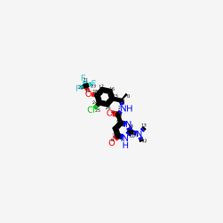 C[C@@H](NC(=O)c1cc(=O)[nH]c(N(C)C)n1)c1ccc(OC(F)(F)F)c(Cl)c1